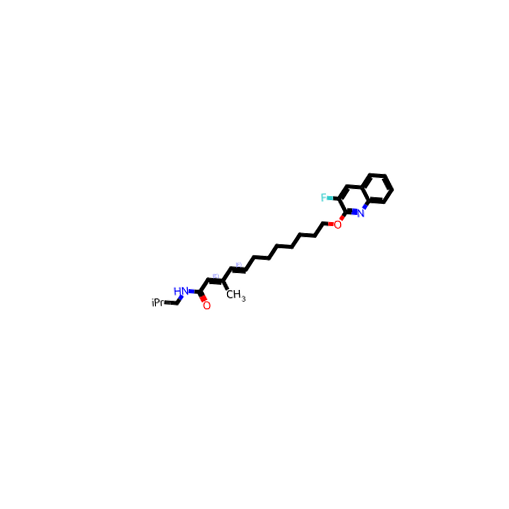 CC(/C=C/CCCCCCCOc1nc2ccccc2cc1F)=C\C(=O)NCC(C)C